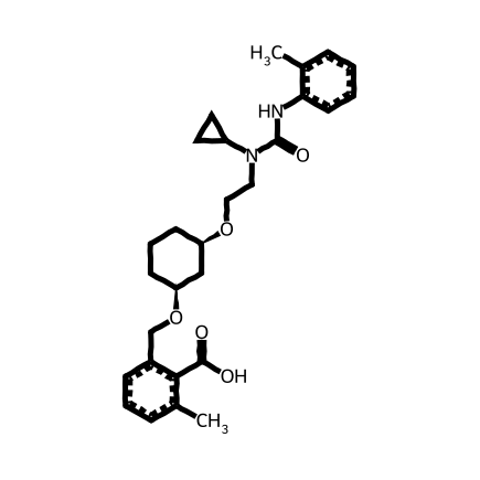 Cc1ccccc1NC(=O)N(CCO[C@@H]1CCC[C@H](OCc2cccc(C)c2C(=O)O)C1)C1CC1